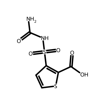 NC(=O)NS(=O)(=O)c1ccsc1C(=O)O